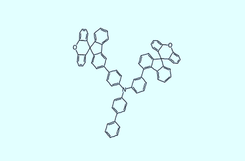 c1ccc(-c2ccc(N(c3ccc(-c4ccc5c(c4)-c4ccccc4C54c5ccccc5Oc5ccccc54)cc3)c3cccc(-c4cccc5c4-c4ccccc4C54c5ccccc5Oc5ccccc54)c3)cc2)cc1